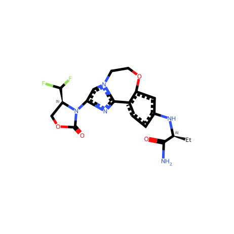 CC[C@H](Nc1ccc2c(c1)OCCn1cc(N3C(=O)OC[C@H]3C(F)F)nc1-2)C(N)=O